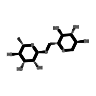 C[C@@H]1O[C@@H](OC[C@H]2O[CH][C@H](O)[C@@H](O)[C@@H]2O)[C@H](O)[C@H](O)[C@H]1O